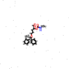 CC(C)(C)NC(=O)O[C@H](CO)CCCO[Si](c1ccccc1)(c1ccccc1)C(C)(C)C